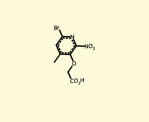 Cc1cc(Br)nc([N+](=O)[O-])c1OCC(=O)O